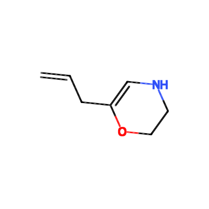 C=CCC1=CNCCO1